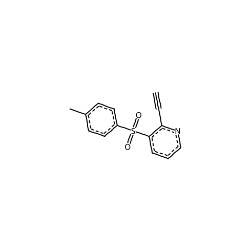 C#Cc1ncccc1S(=O)(=O)c1ccc(C)cc1